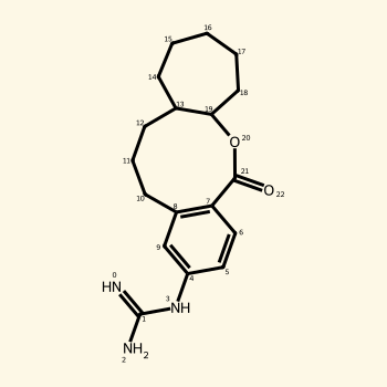 N=C(N)Nc1ccc2c(c1)CCCC1CCCCCC1OC2=O